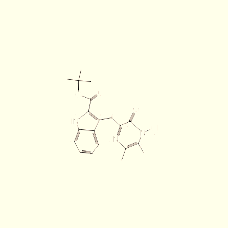 Cc1nc(Cc2c(C(=O)OC(C)(C)C)[nH]c3ccccc23)c(=O)n(O)c1C